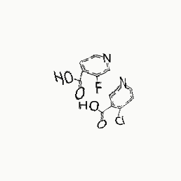 O=C(O)c1ccncc1F.O=C(O)c1cnccc1Cl